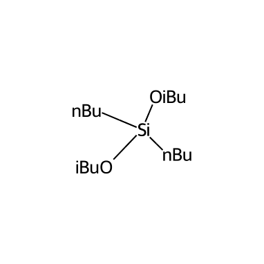 CCCC[Si](CCCC)(OCC(C)C)OCC(C)C